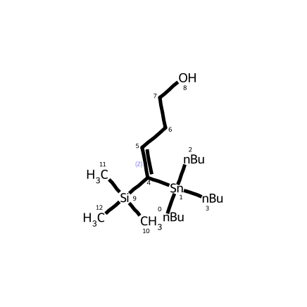 CCC[CH2][Sn]([CH2]CCC)([CH2]CCC)/[C](=C\CCO)[Si](C)(C)C